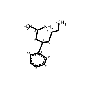 CCCCC(CC(N)N)c1ccccc1